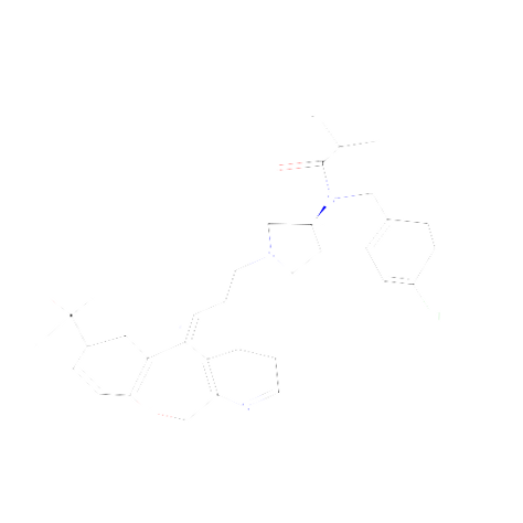 CCCCC(CC)C(=O)N(CC1=CC=C(Cl)CC1)[C@H]1CCN(CC/C=C2\C3=C(COC4=C2CC(C(C)(C)O)C=C4)N=CCC3)C1